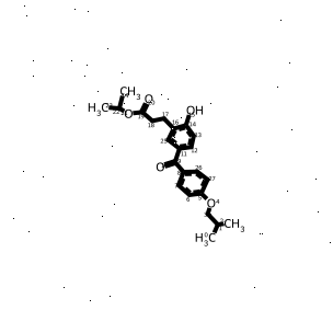 CC(C)COc1ccc(C(=O)c2ccc(O)c(CCC(=O)OC(C)C)c2)cc1